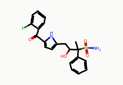 CC(c1ccccc1)(C(O)Cc1ccc(C(=O)c2ccccc2F)[nH]1)S(N)(=O)=O